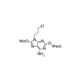 CCCC(C)Oc1nc(N)c2nc(OC)n(CCCCl)c2n1